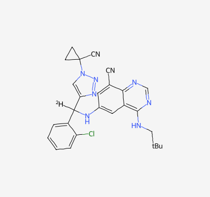 [2H]C(Nc1cc(C#N)c2ncnc(NCC(C)(C)C)c2c1)(c1cn(C2(C#N)CC2)nn1)c1ccccc1Cl